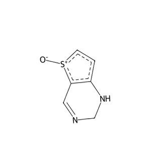 [O-][s+]1ccc2c1C=NCN2